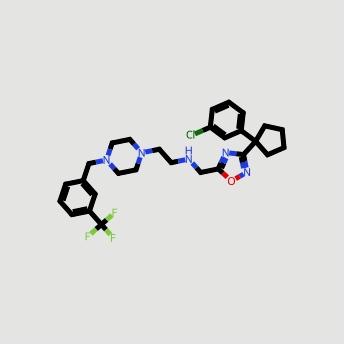 FC(F)(F)c1cccc(CN2CCN(CCNCc3nc(C4(c5cccc(Cl)c5)CCCC4)no3)CC2)c1